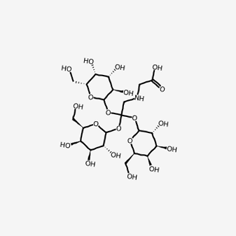 O=C(O)CNCC(OC1O[C@H](CO)[C@H](O)[C@H](O)[C@H]1O)(OC1O[C@H](CO)[C@H](O)[C@H](O)[C@H]1O)OC1O[C@H](CO)[C@H](O)[C@H](O)[C@H]1O